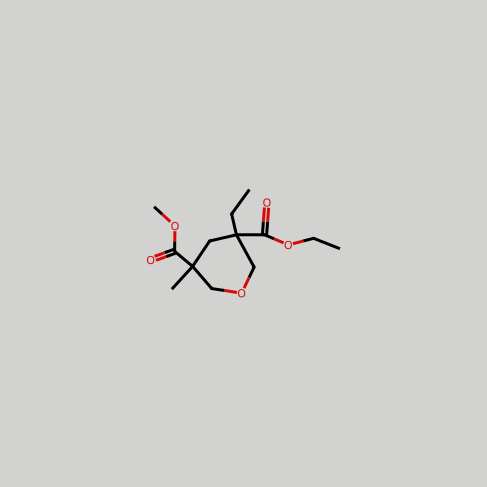 CCOC(=O)C1(CC)COCC(C)(C(=O)OC)C1